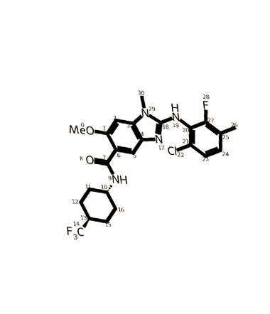 COc1cc2c(cc1C(=O)N[C@H]1CC[C@H](C(F)(F)F)CC1)nc(Nc1c(Cl)ccc(C)c1F)n2C